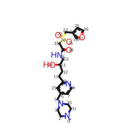 CN1CCN(Cc2ccnc(CCC(O)CNC(=O)CS(=O)(=O)Cc3ccoc3)c2)CC1